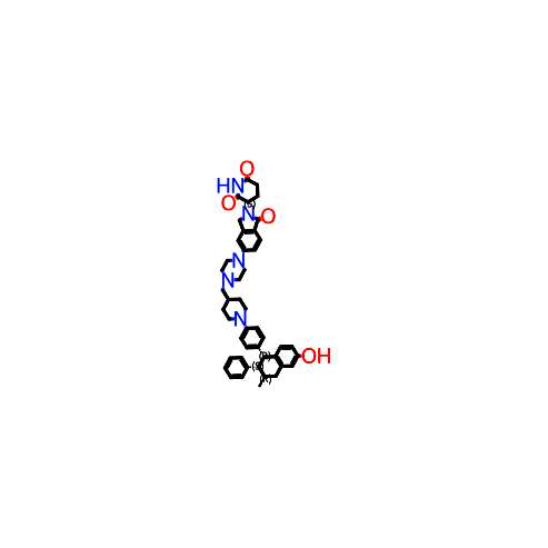 C[C@@H]1Cc2cc(O)ccc2[C@@H](c2ccc(N3CCC(CN4CCN(c5ccc6c(c5)CN([C@H]5CCC(=O)NC5=O)C6=O)CC4)CC3)cc2)[C@H]1c1ccccc1